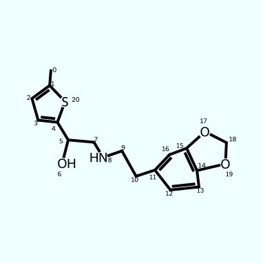 Cc1ccc(C(O)CNCCc2ccc3c(c2)OCO3)s1